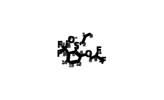 CCC[S+]([O-])c1c(OCC(F)F)cccc1C(F)(F)F